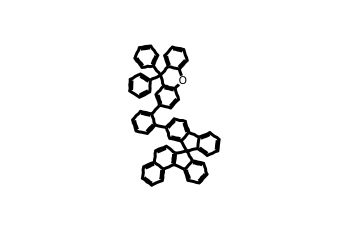 c1ccc(C2(c3ccccc3)c3ccccc3Oc3ccc(-c4ccccc4-c4ccc5c(c4)C4(c6ccccc6-5)c5ccccc5-c5c4ccc4ccccc54)cc32)cc1